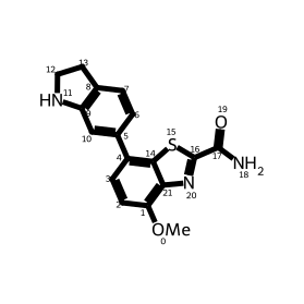 COc1ccc(-c2ccc3c(c2)NCC3)c2sc(C(N)=O)nc12